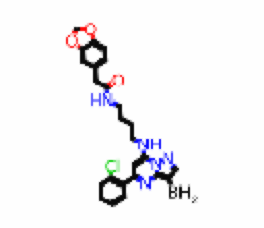 Bc1cnn2c(NCCCCNC(=O)CC3=CC=C4OCOC4C3)cc(C3=C(Cl)CCC=C3)nc12